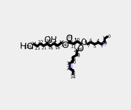 CC/C=C\CCCCOC(CCC(=O)OCCCCC(O)CCCCO)OCCCC/C=C\CC